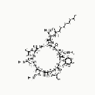 CCCCCCCCC(=O)N[C@H](CN)C(=O)N[C@H]1CCNC(=O)[C@H](CC(C)C)NC(=O)[C@H](CCN)NC(=O)[C@H](CCN)NC(=O)[C@H](CC(C)C)NC(=O)[C@@H](Cc2ccccc2)NC(=O)[C@H](CCN)NC1=O